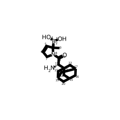 CC1(B(O)O)C=CCN1C(=O)[C@@H](N)C12CC3CC(CC(C3)C1)C2